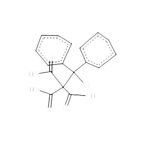 CC(c1ccccc1)(c1ccccc1)C(C(=O)O)(C(=O)O)C(=O)O